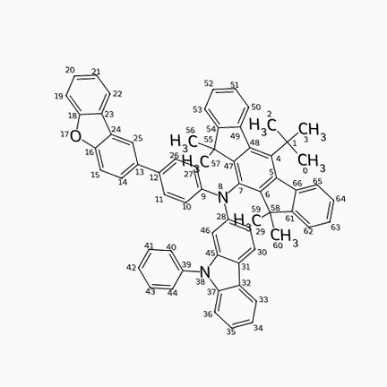 CC(C)(C)c1c2c(c(N(c3ccc(-c4ccc5oc6ccccc6c5c4)cc3)c3ccc4c5ccccc5n(-c5ccccc5)c4c3)c3c1-c1ccccc1C3(C)C)C(C)(C)c1ccccc1-2